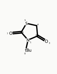 CC(C)(C)N1C(=O)CSC1=O